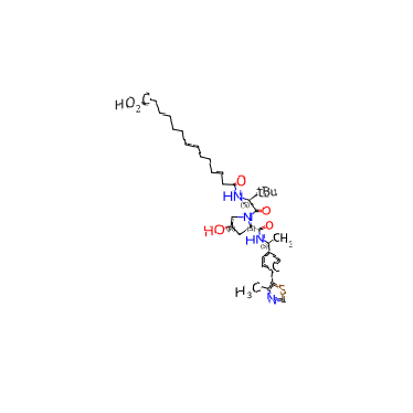 Cc1ncsc1-c1ccc([C@H](C)NC(=O)[C@@H]2C[C@@H](O)CN2C(=O)[C@@H](NC(=O)CCCCCCCCCCCCC(=O)O)C(C)(C)C)cc1